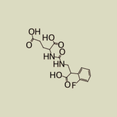 O=C(O)CCC(NC(=O)NCC(C(=O)O)c1ccccc1F)C(=O)O